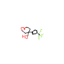 OCC1(c2ccc(C(F)(F)F)cc2)CCOCC1